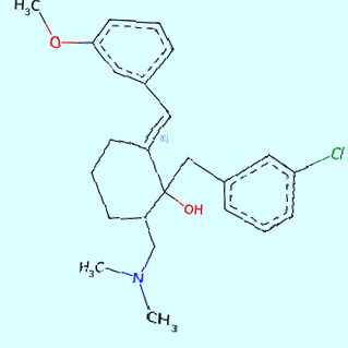 COc1cccc(/C=C2\CCCC(CN(C)C)C2(O)Cc2cccc(Cl)c2)c1